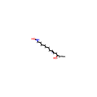 CCCCCCC(O)C/C=C/CCCCCCCNO